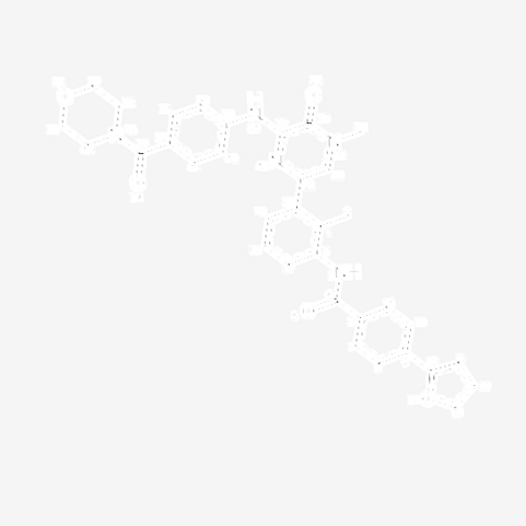 Cc1c(NC(=O)c2ccc(-c3ccco3)cc2)cccc1-c1cn(C)c(=O)c(Nc2ccc(C(=O)N3CCOCC3)cc2)n1